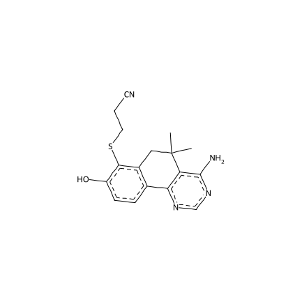 CC1(C)Cc2c(ccc(O)c2SCCC#N)-c2ncnc(N)c21